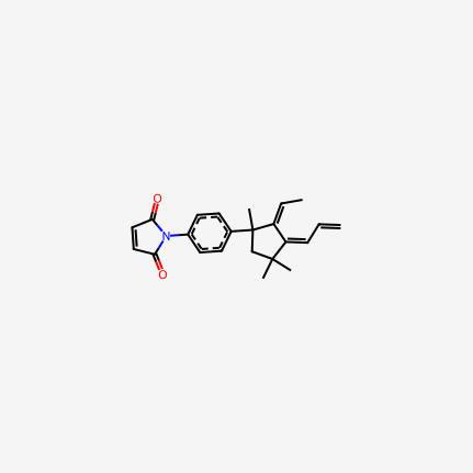 C=C/C=C1\C(=C/C)C(C)(c2ccc(N3C(=O)C=CC3=O)cc2)CC1(C)C